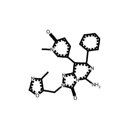 Cc1ncoc1Cn1nc2c(-c3ccc(=O)n(C)c3)c(-c3ccccc3)nc(N)n2c1=O